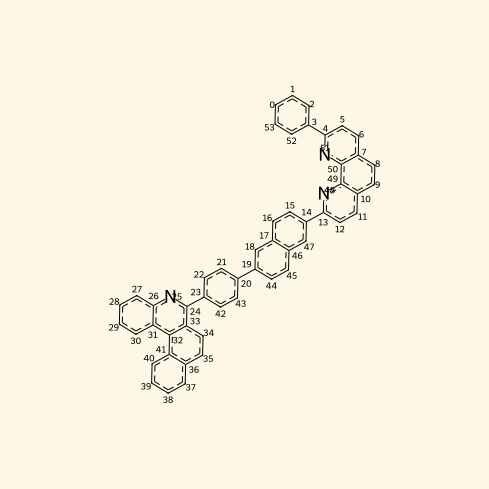 c1ccc(-c2ccc3ccc4ccc(-c5ccc6cc(-c7ccc(-c8nc9ccccc9c9c8ccc8ccccc89)cc7)ccc6c5)nc4c3n2)cc1